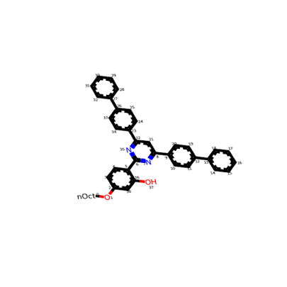 CCCCCCCCOc1ccc(-c2nc(-c3ccc(-c4ccccc4)cc3)cc(-c3ccc(-c4ccccc4)cc3)n2)c(O)c1